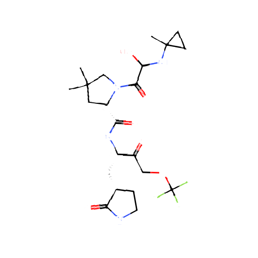 CC1(C)C[C@@H](C(=O)N[C@@H](C[C@@H]2CCNC2=O)C(=O)COC(F)(F)F)N(C(=O)C(O)NC2(C)CC2)C1